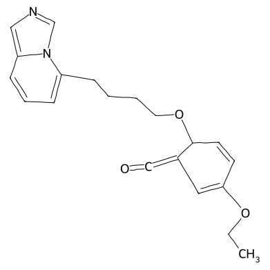 CCOC1=CC(=C=O)C(OCCCCc2cccc3cncn23)C=C1